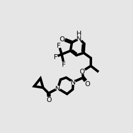 CC(Cc1c[nH]c(=O)c(C(F)(F)F)c1)OC(=O)N1CCN(C(=O)C2CC2)CC1